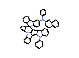 c1ccc(N(c2ccc3c(c2)-c2ccccc2C32c3ccccc3-n3c4ccccc4c4c3c2cc2c3ccccc3n(-c3ccccc3)c24)c2ccc3ccccc3c2)cc1